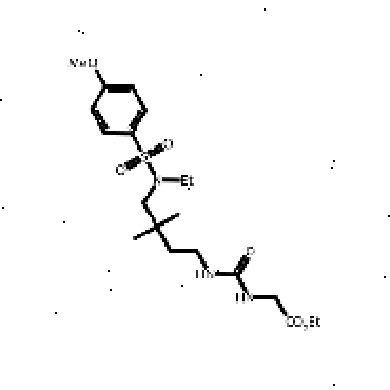 CCOC(=O)CNC(=O)NCCC(C)(C)CN(CC)S(=O)(=O)c1ccc(OC)cc1